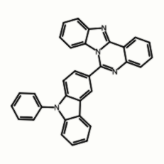 c1ccc(-n2c3ccccc3c3cc(-c4nc5ccccc5c5nc6ccccc6n45)ccc32)cc1